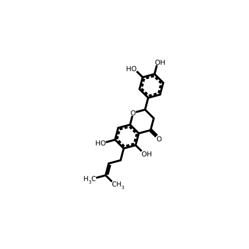 CC(C)=CCc1c(O)cc2c(c1O)C(=O)CC(c1ccc(O)c(O)c1)O2